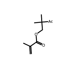 C=C(C)C(=O)OCC(C)(C)C(C)=O